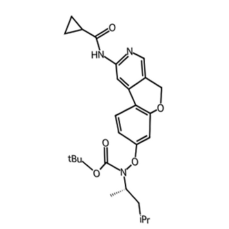 CC(C)C[C@H](C)N(Oc1ccc2c(c1)OCc1cnc(NC(=O)C3CC3)cc1-2)C(=O)OC(C)(C)C